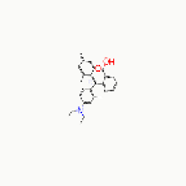 C=c1cc/c(=C(/c2ccc(N(CC)CC)cc2C)c2ccccc2C(=O)O)c(C)c1